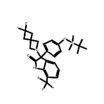 CC(C)(C)[Si](C)(C)Oc1ccc(C2(N3CC4(C3)CC(F)(F)C4)C(=O)Nc3c(C(F)(F)F)cccc32)cc1